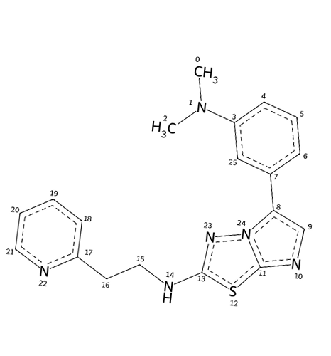 CN(C)c1cccc(-c2cnc3sc(NCCc4ccccn4)nn23)c1